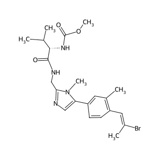 COC(=O)N[C@H](C(=O)NCc1ncc(-c2ccc(/C=C(\C)Br)c(C)c2)n1C)C(C)C